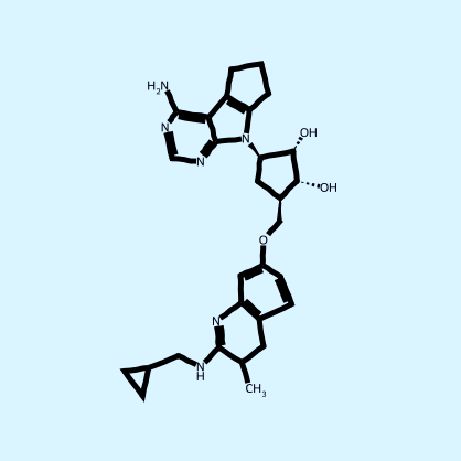 CC1Cc2ccc(OC[C@H]3C[C@@H](n4c5c(c6c(N)ncnc64)CCC5)[C@H](O)[C@@H]3O)cc2N=C1NCC1CC1